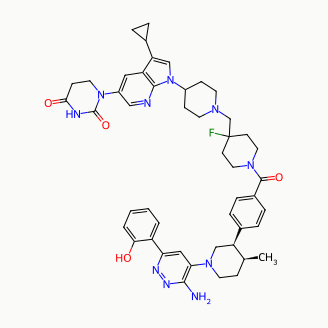 C[C@H]1CCN(c2cc(-c3ccccc3O)nnc2N)C[C@H]1c1ccc(C(=O)N2CCC(F)(CN3CCC(n4cc(C5CC5)c5cc(N6CCC(=O)NC6=O)cnc54)CC3)CC2)cc1